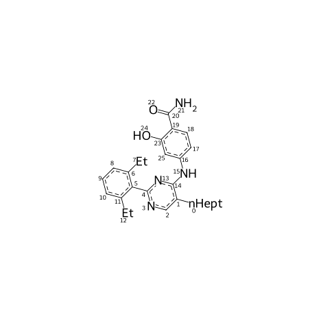 CCCCCCCc1cnc(-c2c(CC)cccc2CC)nc1Nc1ccc(C(N)=O)c(O)c1